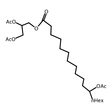 CCCCCCC(CCCCCCCCCCC(=O)OCC(COC(C)=O)OC(C)=O)OC(C)=O